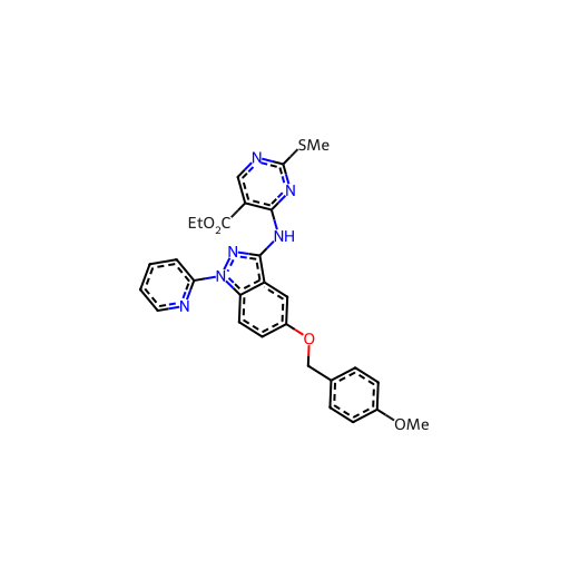 CCOC(=O)c1cnc(SC)nc1Nc1nn(-c2ccccn2)c2ccc(OCc3ccc(OC)cc3)cc12